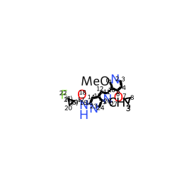 COc1nccc(OC2CC2)c1-c1cc2cc(NC(=O)[C@@H]3C[C@@H]3F)ncc2n1C